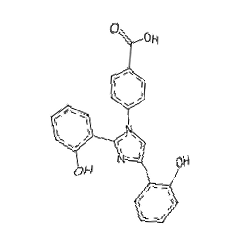 O=C(O)c1ccc(-n2cc(-c3ccccc3O)nc2-c2ccccc2O)cc1